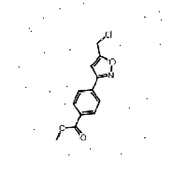 COC(=O)c1ccc(-c2cc(CCl)on2)cc1